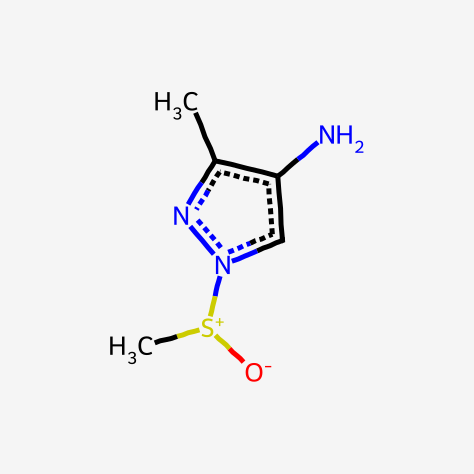 Cc1nn([S+](C)[O-])cc1N